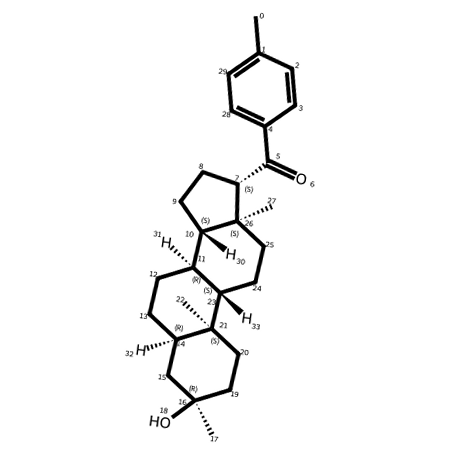 Cc1ccc(C(=O)[C@H]2CC[C@H]3[C@@H]4CC[C@@H]5C[C@](C)(O)CC[C@]5(C)[C@H]4CC[C@]23C)cc1